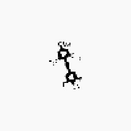 COc1cc(C)c(C#Cc2cc(F)c(C#N)c(F)c2)c(C)c1